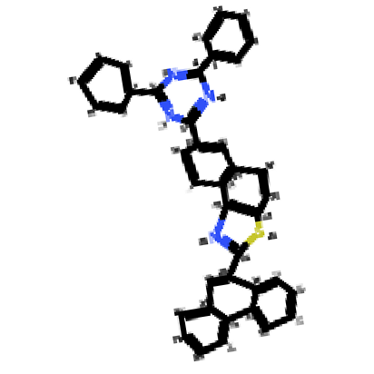 c1ccc(-c2nc(-c3ccccc3)nc(-c3ccc4c(ccc5sc(-c6cc7ccccc7c7ccccc67)nc54)c3)n2)cc1